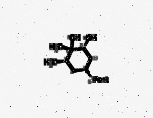 CCC[C@@H](C)[C@H]1C[C@@H](C)[C@](C)(O)[C@H](O)C1